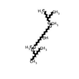 CCCCCC(CCCCC)CCOC(C)OCCCCCCCC(O)CCCCCCCOC(C)OCCC(CCCCC)CCCCC